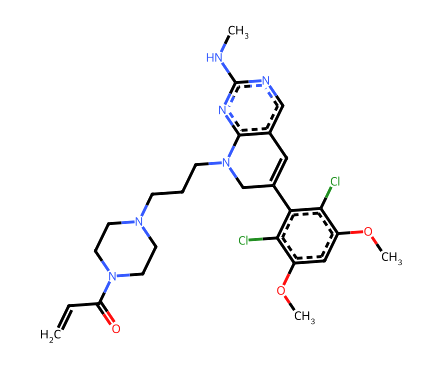 C=CC(=O)N1CCN(CCCN2CC(c3c(Cl)c(OC)cc(OC)c3Cl)=Cc3cnc(NC)nc32)CC1